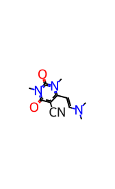 CN(C)C=Cc1c(C#N)c(=O)n(C)c(=O)n1C